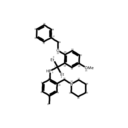 CCC(CC)(Pc1ccc(C)cc1CN1CCCCC1)c1cc(OC)ccc1OCc1ccccc1